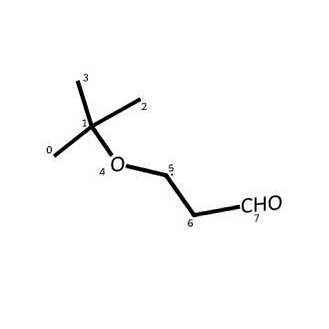 CC(C)(C)O[CH]CC=O